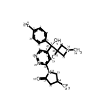 CC(C)c1ccc([C@](O)(c2cnnc(N3CC(C(F)(F)F)CC3=O)c2)C2(C)CN(C)C2)cc1